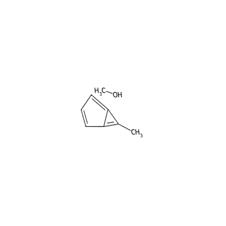 CO.Cc1c2cccc1-2